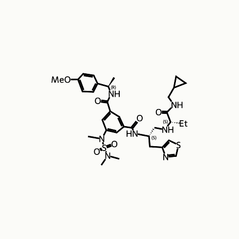 CC[C@H](NC[C@H](Cc1cscn1)NC(=O)c1cc(C(=O)N[C@H](C)c2ccc(OC)cc2)cc(N(C)S(=O)(=O)N(C)C)c1)C(=O)NCC1CC1